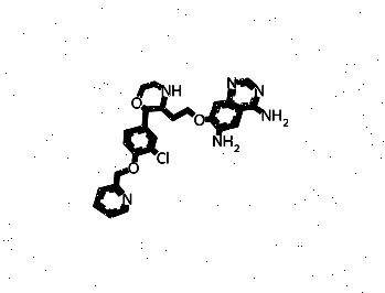 Nc1cc2c(N)ncnc2cc1OCCC1NCCOC1c1ccc(OCc2ccccn2)c(Cl)c1